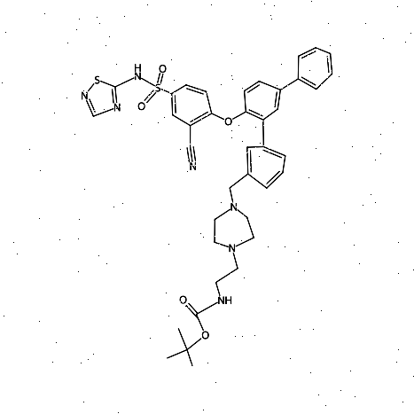 CC(C)(C)OC(=O)NCCN1CCN(Cc2cccc(-c3cc(-c4ccccc4)ccc3Oc3ccc(S(=O)(=O)Nc4ncns4)cc3C#N)c2)CC1